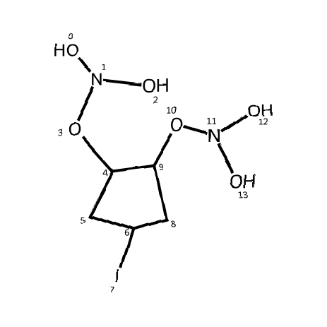 ON(O)OC1CC(I)CC1ON(O)O